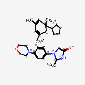 CC1=CC(C(=O)O)(C2CCCC2)CC(C(=O)O)=C1.O=C1CN(c2ccc(N3CCOCC3)cc2)C(S(=O)(=O)O)N1